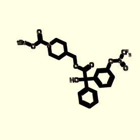 CC(C)(C)OC(=O)N1CCC(COC(=O)C(O)(c2ccccc2)c2cccc(OS(=O)C(F)(F)F)c2)CC1